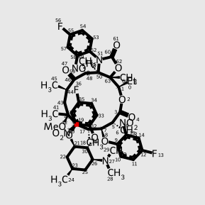 CC[C@H]1OC(=O)[C@H](C)[C@@H](Oc2ccc(F)cc2[N+](=O)[O-])[C@H](C)[C@@H](O[C@@H]2C[C@H](C)C[C@H](N(C)C)[C@H]2Oc2ccc(F)cc2[N+](=O)[O-])[C@@](C)(OC)C[C@@H](C)C(=O)[C@H](C)[C@H]2N(c3ccc(F)cc3[N+](=O)[O-])C(=O)O[C@]12C